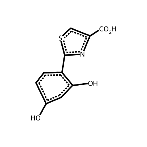 O=C(O)c1csc(-c2ccc(O)cc2O)n1